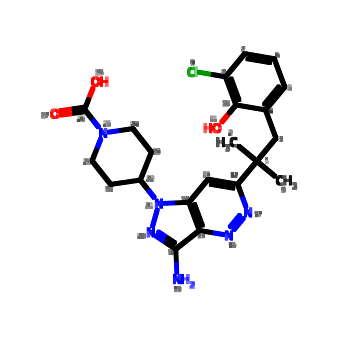 CC(C)(Cc1cccc(Cl)c1O)c1cc2c(nn1)c(N)nn2C1CCN(C(=O)O)CC1